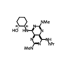 CCCNc1nc(NC)nc2c(N[C@@H]3CCCC[C@H]3O)nc(NC)nc12